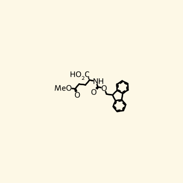 COC(=O)CC[C@H](NC(=O)OCC1c2ccccc2-c2ccccc21)C(=O)O